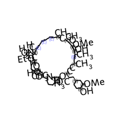 CCS(=O)(=O)N[C@@H]1C[C@@H]2CC[C@@H](C)[C@@](O)(O2)C(=O)CN2CCCC[C@H]2C(=O)O[C@H](C(C)C[C@@H]2CC[C@@H](O)[C@H](OC)C2)CC[C@H](C)/C=C(\C)[C@@H](O)[C@@H](OC)C(=O)[C@H](C)C[C@H](C)/C=C/C=C/C=C/1C